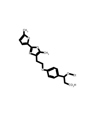 CCOC(CC(=O)O)c1ccc(OCCc2nc(-c3ccc(C)o3)oc2C)cc1